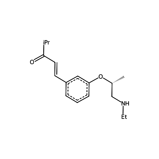 CCNC[C@@H](C)Oc1cccc(/C=C/C(=O)C(C)C)c1